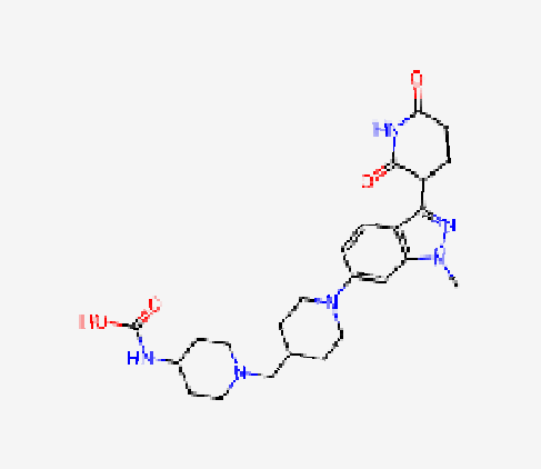 Cn1nc(C2CCC(=O)NC2=O)c2ccc(N3CCC(CN4CCC(NC(=O)O)CC4)CC3)cc21